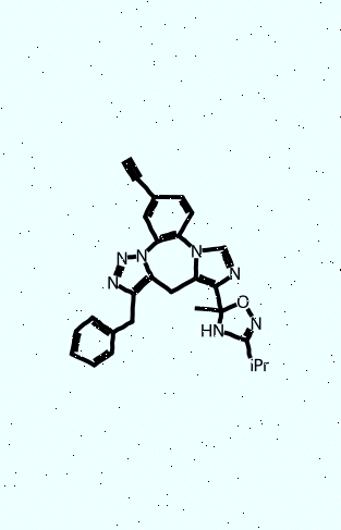 C#Cc1ccc2c(c1)-n1nnc(Cc3ccccc3)c1Cc1c(C3(C)NC(C(C)C)=NO3)ncn1-2